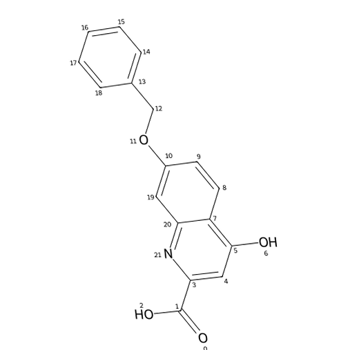 O=C(O)c1cc(O)c2ccc(OCc3ccccc3)cc2n1